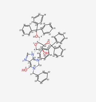 OC1=c2ncn([C@@H]3O[C@H](COC(c4ccccc4)(c4ccccc4)c4ccccc4)[C@@H](OC(c4ccccc4)(c4ccccc4)c4ccccc4)[C@H]3O)c2=NCN1Cc1ccccc1